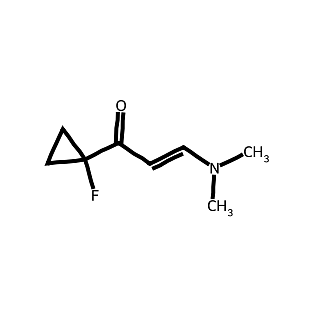 CN(C)/C=C/C(=O)C1(F)CC1